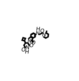 CC1CCCCN1C(=O)CNc1ccc2c(c1)C(=O)N(C1C(=O)NC(=O)CC1C1CCC1)C2